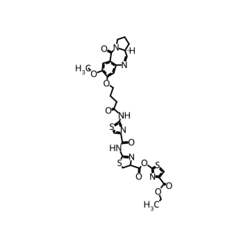 CCOC(=O)c1csc(OC(=O)C2CSC(NC(=O)c3csc(NC(=O)CCCOc4cc5c(cc4OC)C(=O)N4CCC[C@H]4C=N5)n3)=N2)n1